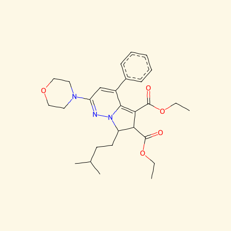 CCOC(=O)C1=C2C(c3ccccc3)=CC(N3CCOCC3)=NN2C(CCC(C)C)C1C(=O)OCC